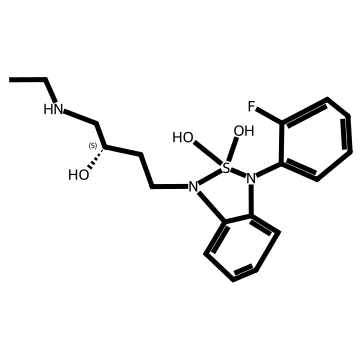 CCNC[C@@H](O)CCN1c2ccccc2N(c2ccccc2F)S1(O)O